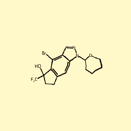 OC1(C(F)(F)F)CCc2cc3c(cnn3C3CCCCO3)c(Br)c21